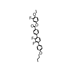 CCCCOc1ccc(-c2ccc(-c3ccc(C(=O)Oc4ccc(OCC)c(F)c4)cc3)c(F)c2F)cc1